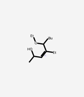 CCOC(/C(=C\C(C)O)CC)C(C)CC